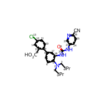 CC(C)CN(CC(C)C)c1ccc(-c2ccc(Cl)cc2C(=O)O)cc1NC(=O)Nc1ccc(C#N)nc1